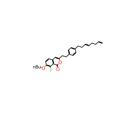 C=CCC/C=C/CCc1ccc(CCc2cc3ccc(OCCCC)c(F)c3c(=O)o2)cc1